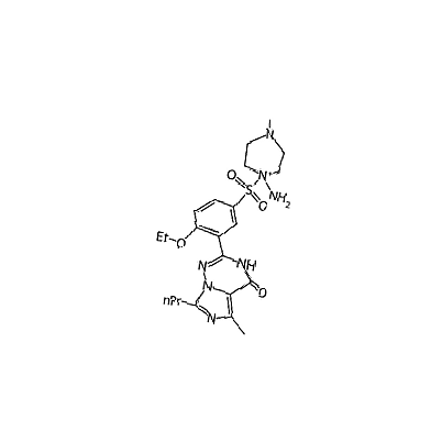 CCCc1nc(C)c2c(=O)[nH]c(-c3cc(S(=O)(=O)[N+]4(N)CCN(C)CC4)ccc3OCC)nn12